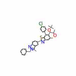 CC(=O)[C@@H](OC(C)(C)C)c1c(C)cc2nc(-c3ccc4nn(Cc5ccccc5)c(C)c4c3)sc2c1-c1ccc(Cl)cc1